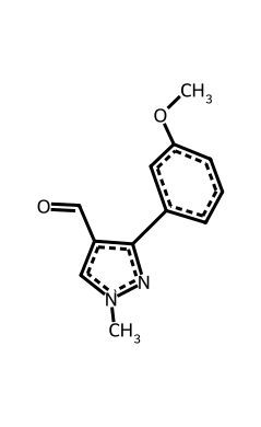 COc1cccc(-c2nn(C)cc2C=O)c1